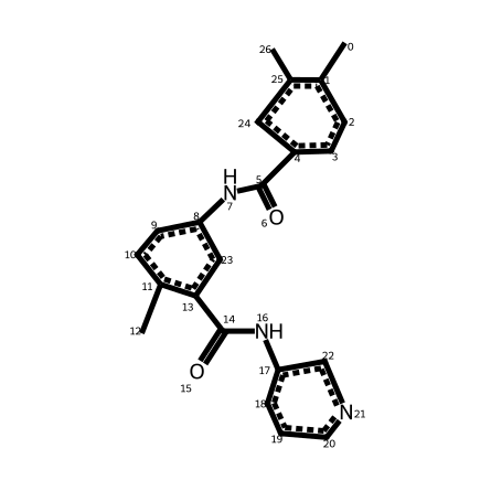 Cc1ccc(C(=O)Nc2ccc(C)c(C(=O)Nc3cccnc3)c2)cc1C